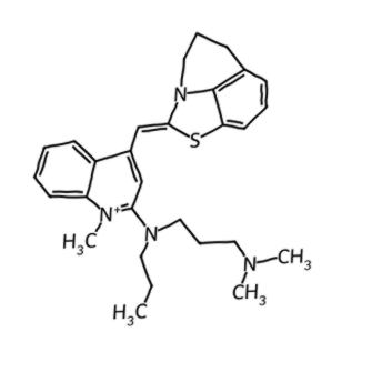 CCCN(CCCN(C)C)c1cc(/C=C2\Sc3cccc4c3N2CCC4)c2ccccc2[n+]1C